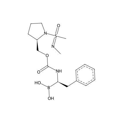 CN=S(C)(=O)N1CCC[C@@H]1COC(=O)N[C@@H](Cc1ccccc1)B(O)O